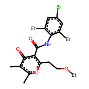 CCOCCc1oc(C)c(C)c(=O)c1C(=O)Nc1c(CC)cc(Br)cc1CC